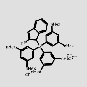 CCCCCCc1cc(CCCCCC)cc([Si](c2cc(CCCCCC)cc(CCCCCC)c2)(c2cc(CCCCCC)cc(CCCCCC)c2)C2[C]([Ti+3])=Cc3ccccc32)c1.[Cl-].[Cl-].[Cl-]